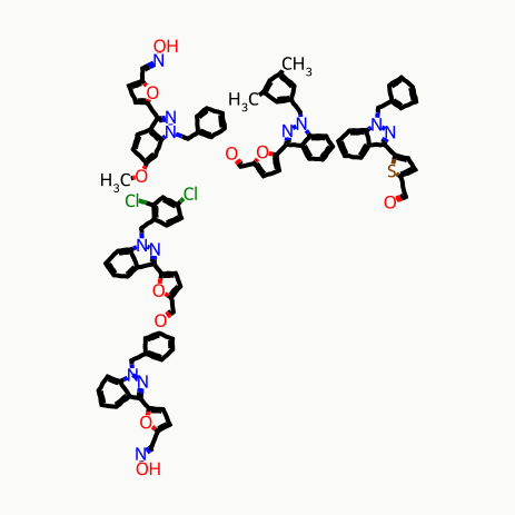 COc1ccc2c(-c3ccc(C=NO)o3)nn(Cc3ccccc3)c2c1.Cc1cc(C)cc(Cn2nc(-c3ccc(C=O)o3)c3ccccc32)c1.O=Cc1ccc(-c2nn(Cc3ccc(Cl)cc3Cl)c3ccccc23)o1.O=Cc1ccc(-c2nn(Cc3ccccc3)c3ccccc23)s1.ON=Cc1ccc(-c2nn(Cc3ccccc3)c3ccccc23)o1